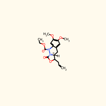 C=CCC1OC(=O)N2[C@@H]1Cc1cc(OC)c(OC)cc1N2C(=O)OCC